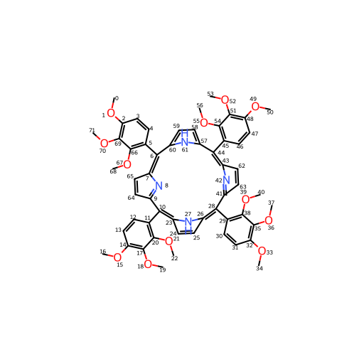 COc1ccc(-c2c3nc(c(-c4ccc(OC)c(OC)c4OC)c4ccc([nH]4)c(-c4ccc(OC)c(OC)c4OC)c4nc(c(-c5ccc(OC)c(OC)c5OC)c5ccc2[nH]5)C=C4)C=C3)c(OC)c1OC